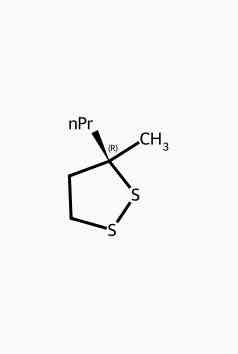 CCC[C@]1(C)CCSS1